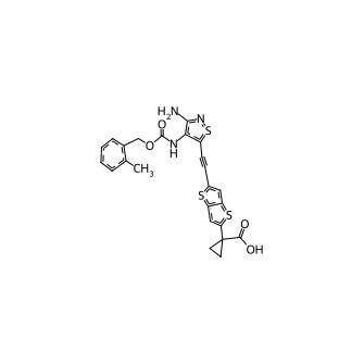 Cc1ccccc1COC(=O)Nc1c(N)nsc1C#Cc1cc2sc(C3(C(=O)O)CC3)cc2s1